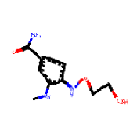 CNc1cc(C(N)=O)ccc1NOCCO